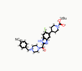 CC(C)(C)OC(=O)N1CCC(c2cc3nc(C(=O)N4CCN(Cc5ccc(C#N)cc5)CC4)[nH]c3cc2F)CC1